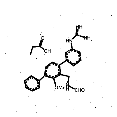 CCC(=O)O.COc1c(-c2ccccc2)ccc(-c2cccc(NC(=N)N)c2)c1CNC=O